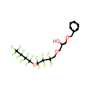 OC(COCc1ccccc1)COCC(F)(F)C(F)(F)C(F)(F)OC(F)(F)C(F)(F)C(F)(F)C(F)(F)F